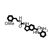 COc1ccccc1CCNC(=O)NC1CCc2cc(C(=O)Nc3ccccc3N)ccc21